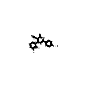 Cc1nc(-c2ccc(O)cc2)cc(-c2cccc(Cl)c2Cl)c1C#N